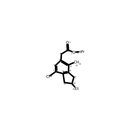 CCCOC(=O)Cc1cc(Cl)c2c(c1C)CC(CC)C2